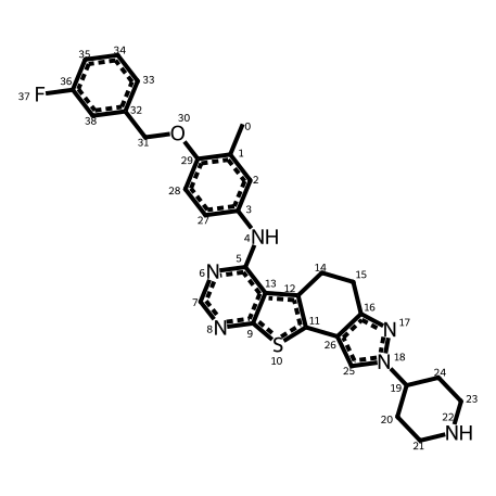 Cc1cc(Nc2ncnc3sc4c(c23)CCc2nn(C3CCNCC3)cc2-4)ccc1OCc1cccc(F)c1